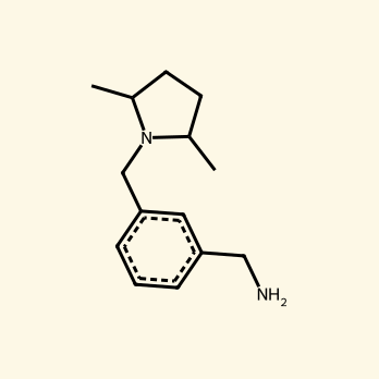 CC1CCC(C)N1Cc1cccc(CN)c1